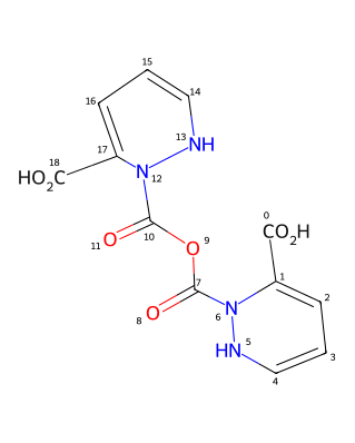 O=C(O)C1=CC=CNN1C(=O)OC(=O)N1NC=CC=C1C(=O)O